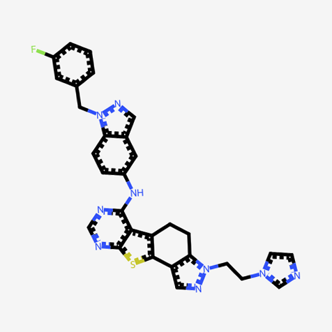 Fc1cccc(Cn2ncc3cc(Nc4ncnc5sc6c(c45)CCc4c-6cnn4CCn4ccnc4)ccc32)c1